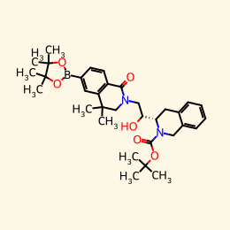 CC(C)(C)OC(=O)N1Cc2ccccc2C[C@H]1C(O)CN1CC(C)(C)c2cc(B3OC(C)(C)C(C)(C)O3)ccc2C1=O